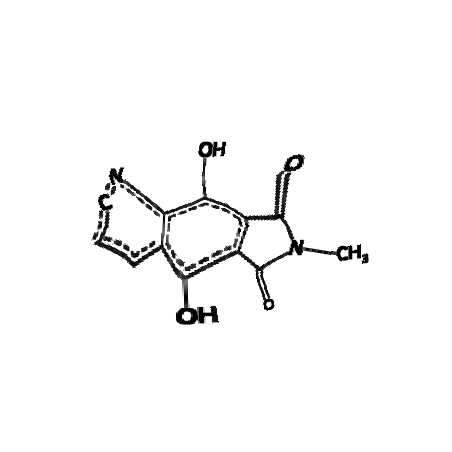 CN1C(=O)c2c(c(O)c3ncccc3c2O)C1=O